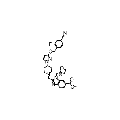 COC(=O)c1ccc2nc(CN3CCC(n4ccc(OCc5ccc(C#N)cc5F)n4)CC3)n(C[C@@H]3CCO3)c2c1